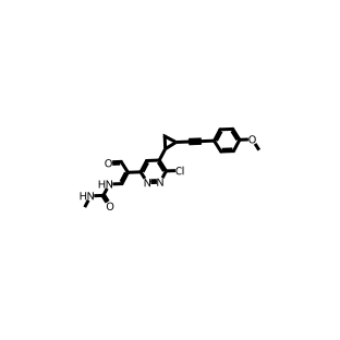 CNC(=O)N/C=C(\C=O)c1cc(C2CC2C#Cc2ccc(OC)cc2)c(Cl)nn1